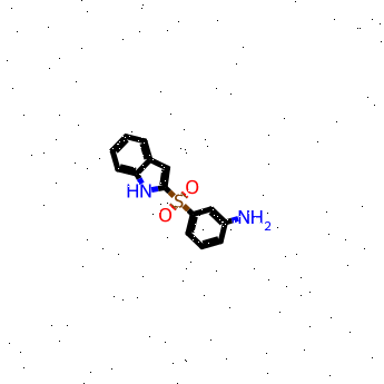 Nc1cccc(S(=O)(=O)c2cc3ccccc3[nH]2)c1